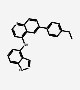 CCc1ccc(-c2ccc3nccc(Nc4cccc5[nH]ncc45)c3c2)cc1